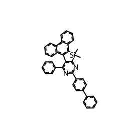 C[Si]1(C)c2nc(-c3ccc(-c4ccccc4)cc3)nc(-c3ccccc3)c2-c2c1c1ccccc1c1ccccc21